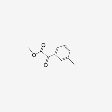 COC(=O)C(=O)c1cccc(C)c1